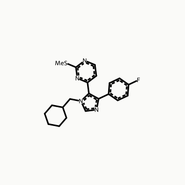 CSc1nccc(-c2c(-c3ccc(F)cc3)ncn2CC2CCCCC2)n1